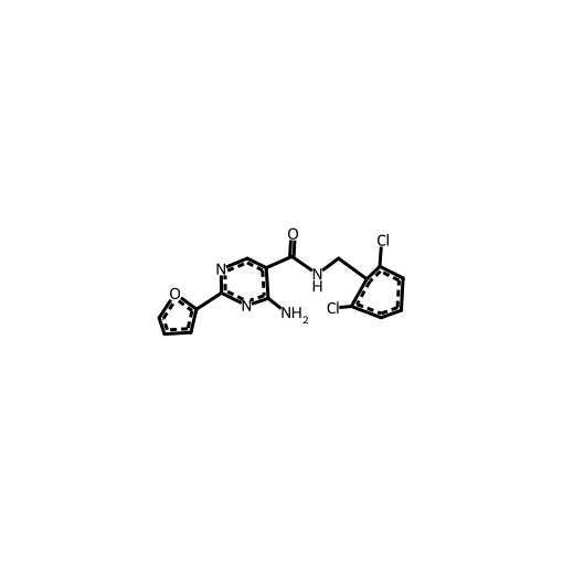 Nc1nc(-c2ccco2)ncc1C(=O)NCc1c(Cl)cccc1Cl